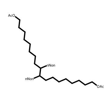 CCCCCCCCCC(CCCCCCCCOC(C)=O)C(CCCCCCCCC)CCCCCCCCOC(C)=O